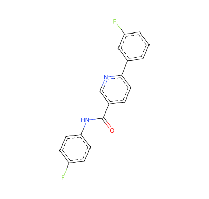 O=C(Nc1ccc(F)cc1)c1ccc(-c2cccc(F)c2)nc1